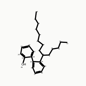 CCCCCCCCC(CCCCC)c1ccccc1-c1ccccc1O